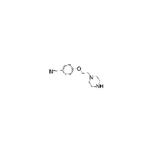 N#Cc1ccc(OCCN2CCNCC2)cc1